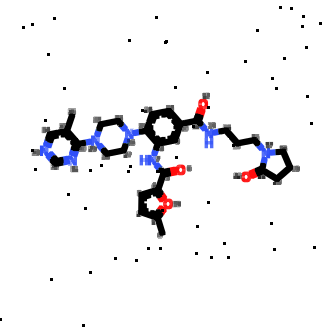 Cc1ccc(C(=O)Nc2cc(C(=O)NCCCN3CCCC3=O)ccc2N2CCN(c3ncncc3C)CC2)o1